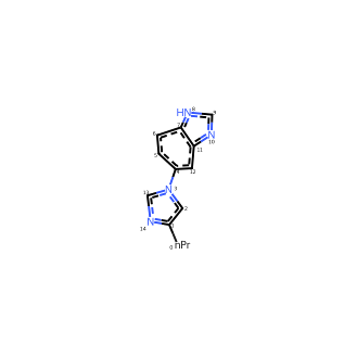 CCCc1cn(-c2ccc3[nH]cnc3c2)cn1